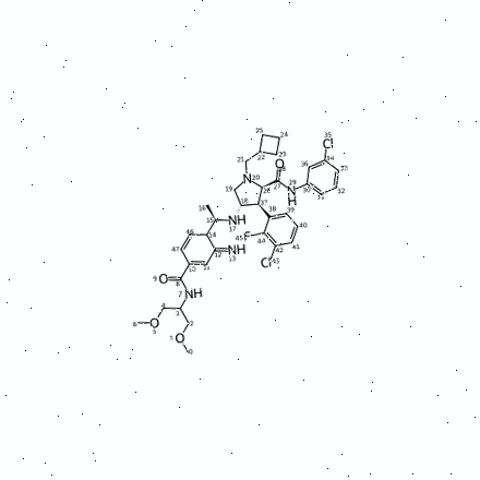 COCC(COC)NC(=O)C1=CC(=N)C([C@@H](C)N[C@@H]2CN(CC3CCC3)[C@@H](C(=O)Nc3cccc(Cl)c3)[C@H]2c2cccc(Cl)c2F)C=C1